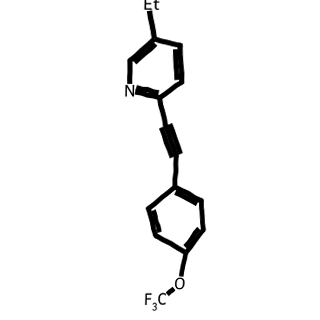 CCc1ccc(C#Cc2ccc(OC(F)(F)F)cc2)nc1